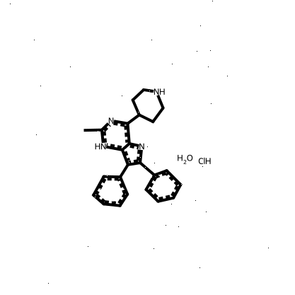 Cc1nc(C2CCNCC2)c2nc(-c3ccccc3)c(-c3ccccc3)c-2[nH]1.Cl.O